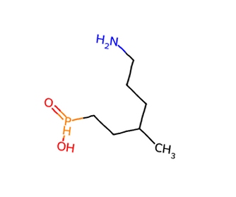 CC(CCCN)CC[PH](=O)O